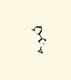 Nc1cccc(-c2cnn(C3CC3)c2)n1